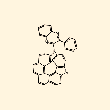 c1ccc(-c2nc3ccccc3nc2-n2c3ccc4ccc5ccc6ccc7sc8ccc2c2c8c7c6c5c4c23)cc1